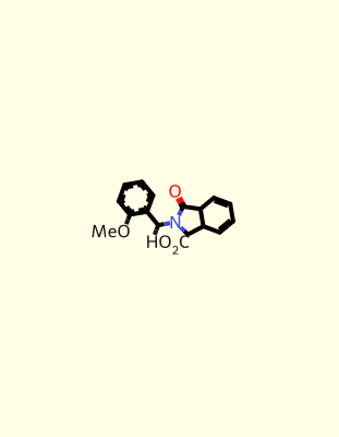 COc1ccccc1C(C(=O)O)N1CC2C=CC=CC2C1=O